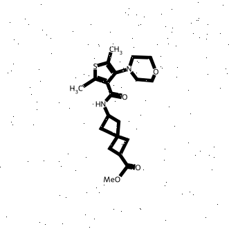 COC(=O)C1CC2(CC(NC(=O)c3c(C)sc(C)c3N3CCOCC3)C2)C1